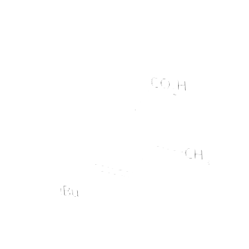 CCC(C)C=CC(C)CC(=O)O